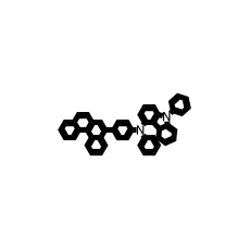 C1=CCC2C(=C1)N(c1ccccc1)c1cccc(N(c3ccccc3)c3ccc(-c4cc5ccc6ccccc6c5c5ccccc45)cc3)c12